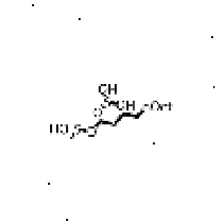 CCCCCCCCCCCCOS(=O)(=O)O.O=S(O)O